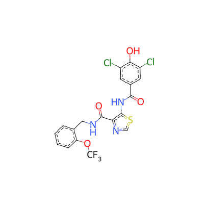 O=C(Nc1scnc1C(=O)NCc1ccccc1OC(F)(F)F)c1cc(Cl)c(O)c(Cl)c1